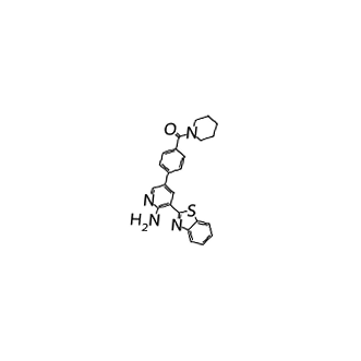 Nc1ncc(-c2ccc(C(=O)N3CCCCC3)cc2)cc1-c1nc2ccccc2s1